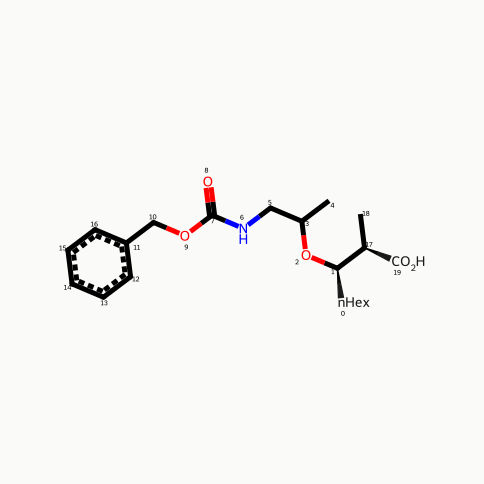 CCCCCC[C@@H](OC(C)CNC(=O)OCc1ccccc1)[C@@H](C)C(=O)O